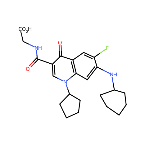 O=C(O)CNC(=O)c1cn(C2CCCC2)c2cc(NC3CCCCC3)c(F)cc2c1=O